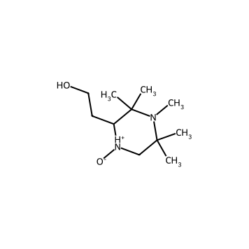 CN1C(C)(C)C[NH+]([O-])C(CCO)C1(C)C